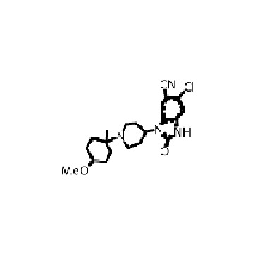 COC1CCC(C)(N2CCC(n3c(=O)[nH]c4cc(Cl)c(C#N)cc43)CC2)CC1